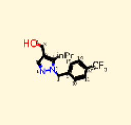 CCCc1c(CO)cnn1Cc1ccc(C(F)(F)F)cc1